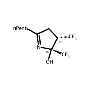 CCCCCC1=N[C@](O)(C(F)(F)F)[C@@H](C(F)(F)F)C1